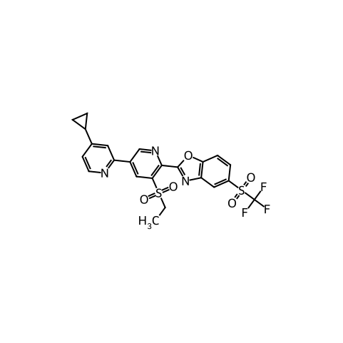 CCS(=O)(=O)c1cc(-c2cc(C3CC3)ccn2)cnc1-c1nc2cc(S(=O)(=O)C(F)(F)F)ccc2o1